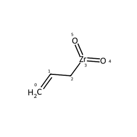 C=C[CH2][Zr](=[O])=[O]